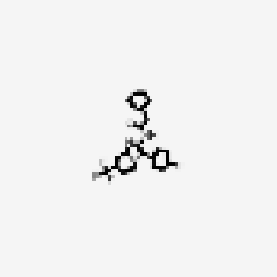 O=C(Cc1ccccc1)Nc1nc2cc(C(F)(F)F)ccn2c1-c1ccc(F)cc1